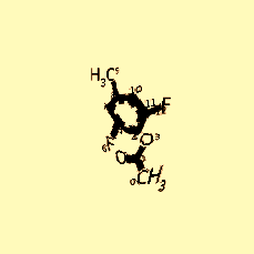 CC(=O)Oc1c(F)cc(C)cc1F